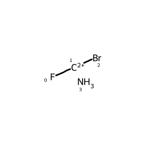 F[C+2]Br.N